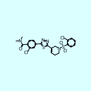 CN(C)C(=O)c1ccc(-c2nnc(C3=CCCN(S(=O)(=O)c4ccccc4Cl)C3)s2)cc1Cl